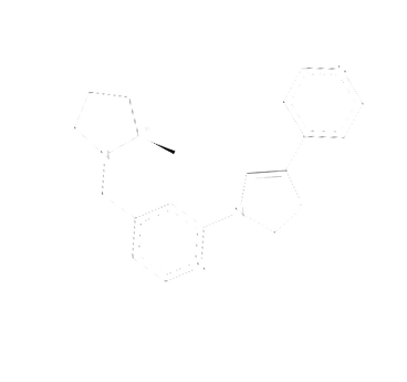 C[C@@H]1CCCN1Cc1ccnc(N2C=C(c3ccncc3)SC2)c1